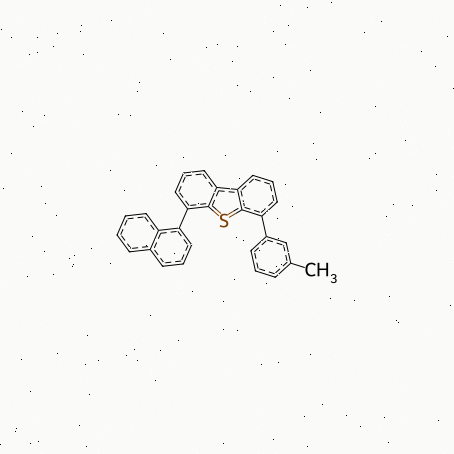 Cc1cccc(-c2cccc3c2sc2c(-c4cccc5ccccc45)cccc23)c1